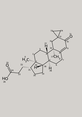 C[C@]12CC[C@H]3[C@@H](CCC4=CC(=O)C5(CC5)C[C@@]43C)[C@@H]1CC[C@@H]2CCC(=O)O